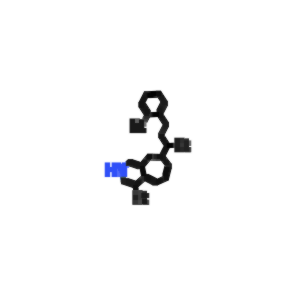 CCC1=CNC=C2C=C(C(CC)CCc3ccccc3CC)C=CC=C21